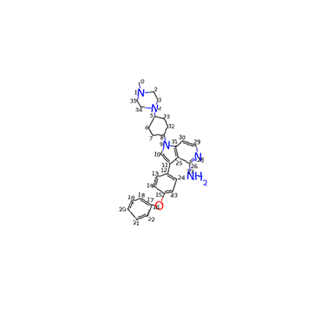 CN1CCN(C2CCC(n3cc(-c4ccc(Oc5ccccc5)cc4)c4c(N)nccc43)CC2)CC1